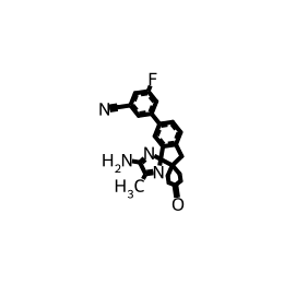 CC1=NC2(N=C1N)c1cc(-c3cc(F)cc(C#N)c3)ccc1CC21CCC(=O)CC1